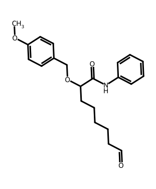 COc1ccc(COC(CCCCCC=O)C(=O)Nc2ccccc2)cc1